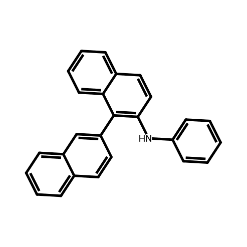 c1ccc(Nc2ccc3ccccc3c2-c2ccc3ccccc3c2)cc1